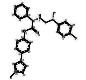 Cc1ncc([C@@H](C)CN[C@H](C(=O)Nc2ccc(-c3cnn(C)c3)cn2)c2ccccc2)cn1